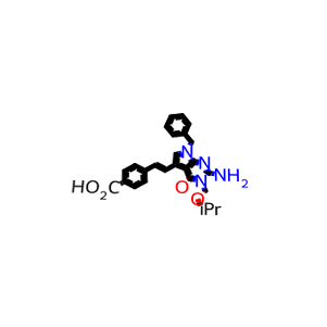 CC(C)OCn1c(N)nc2c(c(C=Cc3ccc(C(=O)O)cc3)cn2Cc2ccccc2)c1=O